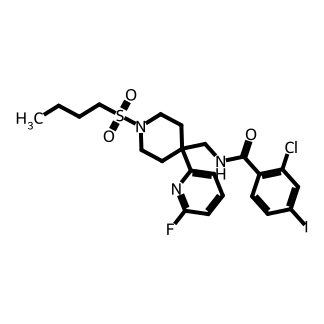 CCCCS(=O)(=O)N1CCC(CNC(=O)c2ccc(I)cc2Cl)(c2cccc(F)n2)CC1